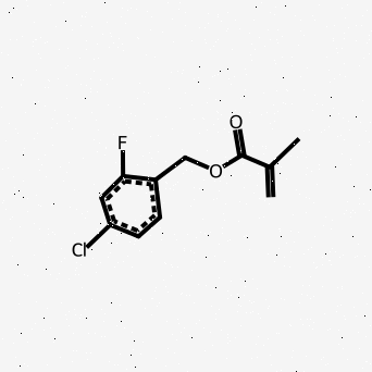 C=C(C)C(=O)OCc1ccc(Cl)cc1F